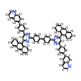 c1cnc2ccc(-c3ccc(-c4cc(-c5c6ccccc6cc6ccccc56)nc(-c5ccc(-c6ccc(-c7nc(-c8ccc(-c9ccc%10ncccc%10c9)cc8)cc(-c8c9ccccc9cc9ccccc89)n7)cc6)cc5)n4)cc3)cc2c1